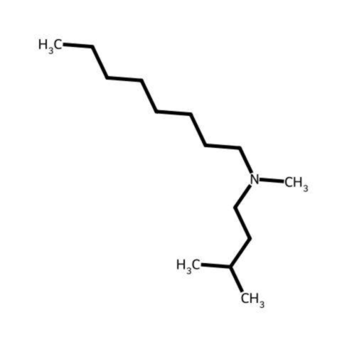 CCCCCCCCN(C)CCC(C)C